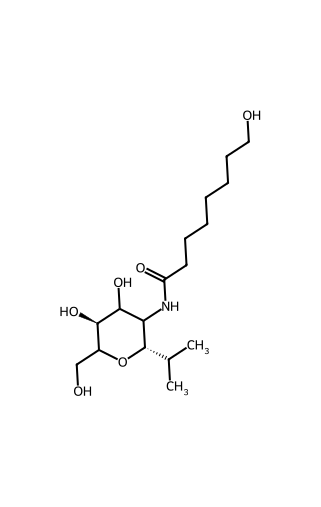 CC(C)[C@@H]1OC(CO)[C@@H](O)C(O)C1NC(=O)CCCCCCCO